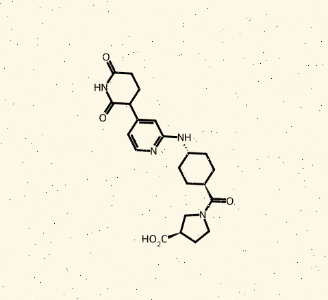 O=C1CCC(c2ccnc(N[C@H]3CC[C@H](C(=O)N4CC[C@@H](C(=O)O)C4)CC3)c2)C(=O)N1